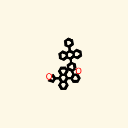 c1ccc(-c2c3ccccc3c(-c3ccc4c(c3)oc3cccc(-c5c6ccccc6c(-c6ccoc6)c6ccccc56)c34)c3ccccc23)cc1